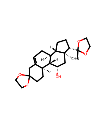 CC1([C@H]2CC[C@H]3[C@@H]4CC=C5CC6(CC[C@]5(C)[C@H]4[C@@H](O)C[C@]23C=O)OCCO6)OCCO1